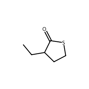 CCC1CCSC1=O